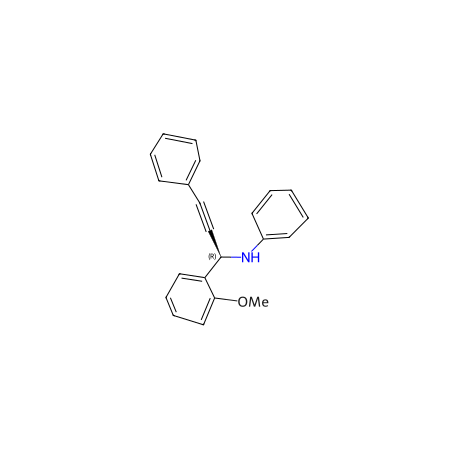 COc1ccccc1[C@@H](C#Cc1ccccc1)Nc1ccccc1